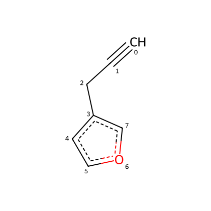 C#CCc1ccoc1